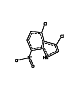 O=[N+]([O-])c1ccc(Cl)c2c(Cl)c[nH]c12